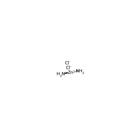 [Cl-].[Cl-].[NH2][Zn+2][NH2]